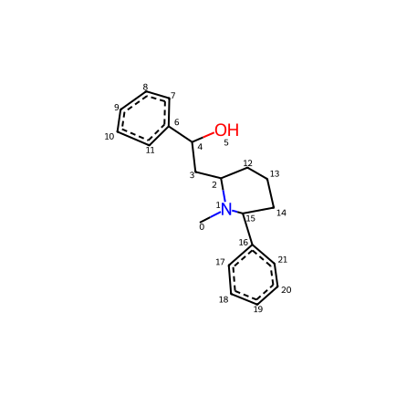 CN1C(CC(O)c2ccccc2)CCCC1c1ccccc1